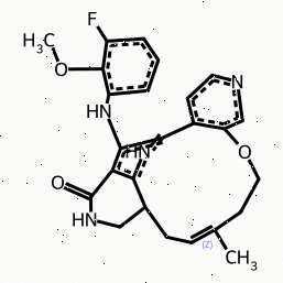 COc1c(F)cccc1Nc1c2[nH]c3c1C(=O)NCC3C/C=C(/C)CCOc1cnccc1-2